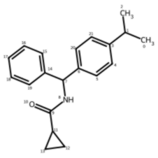 CC(C)c1ccc(C(NC(=O)C2CC2)c2ccccc2)cc1